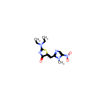 CCN(CC)C1=NC(=O)/C(=C/c2ncc([N+](=O)[O-])n2C)S1